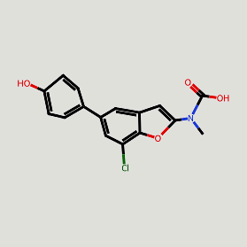 CN(C(=O)O)c1cc2cc(-c3ccc(O)cc3)cc(Cl)c2o1